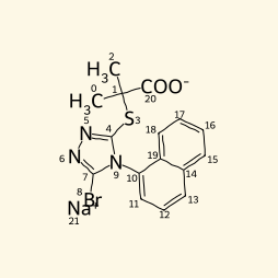 CC(C)(Sc1nnc(Br)n1-c1cccc2ccccc12)C(=O)[O-].[Na+]